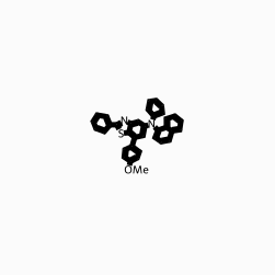 COc1ccc(-c2cc(N(c3ccccc3)c3cccc4ccccc34)cc3nc(-c4ccccc4)sc23)cc1